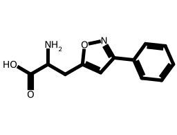 NC(Cc1cc(-c2ccccc2)no1)C(=O)O